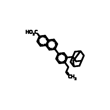 C=CCc1ccc(-c2ccc3cc(C(=O)O)ccc3c2)cc1C12CC3CC(CC(C3)C1)C2